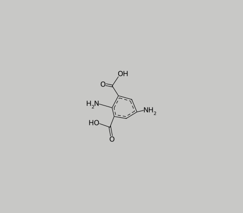 Nc1cc(C(=O)O)c(N)c(C(=O)O)c1